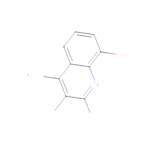 COc1c(C)c(C(F)(F)F)nc2c(O)cccc12